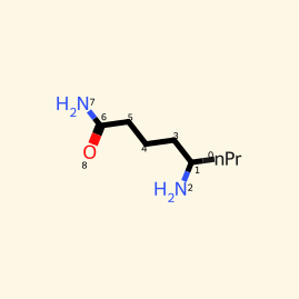 CCCC(N)CCCC(N)=O